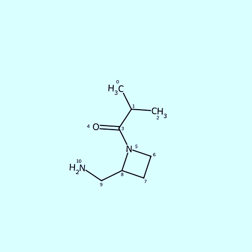 CC(C)C(=O)N1CCC1CN